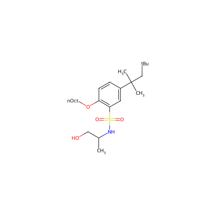 CCCCCCCCOc1ccc(C(C)(C)CC(C)(C)C)cc1S(=O)(=O)NC(C)CO